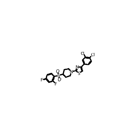 O=S(=O)(c1ccc(F)cc1F)C1CCN(c2nc(-c3ccc(Cl)c(Cl)c3)cs2)CC1